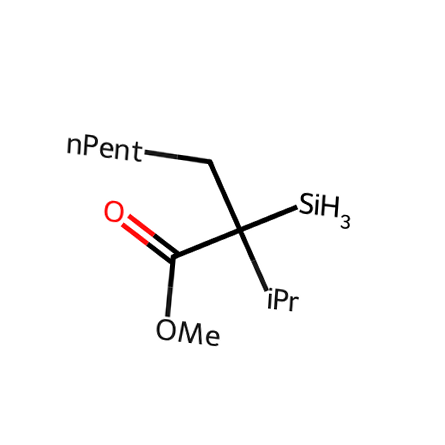 CCCCCCC([SiH3])(C(=O)OC)C(C)C